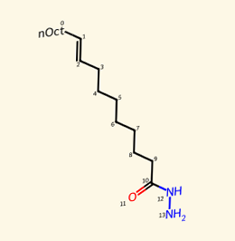 CCCCCCCC/C=C/CCCCCCCC(=O)NN